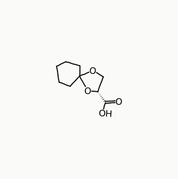 O=C(O)[C@H]1COC2(CCCCC2)O1